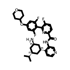 CC(C)[C@@H]1C[C@@H](N)C[C@H](c2ccncc2NC(=O)c2ccc(F)c(-c3c(F)cc(OC4CCOCC4)cc3F)n2)C1